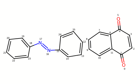 O=C1C=CC(=O)c2ccccc21.c1ccc(N=Nc2ccccc2)cc1